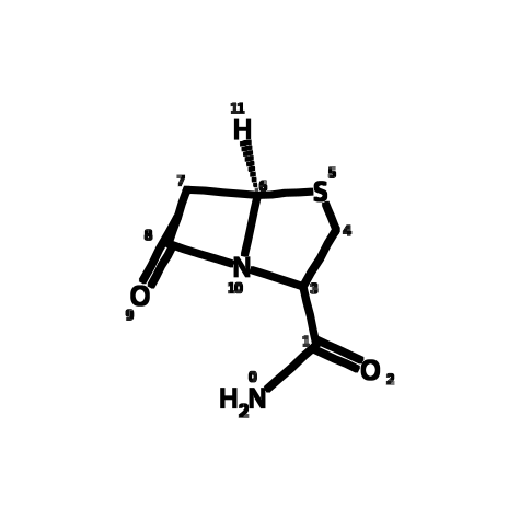 NC(=O)C1CS[C@@H]2CC(=O)N12